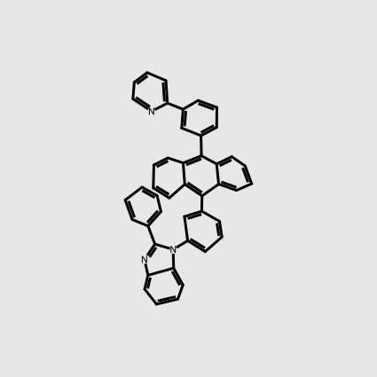 c1ccc(-c2nc3ccccc3n2-c2cccc(-c3c4ccccc4c(-c4cccc(-c5ccccn5)c4)c4ccccc34)c2)cc1